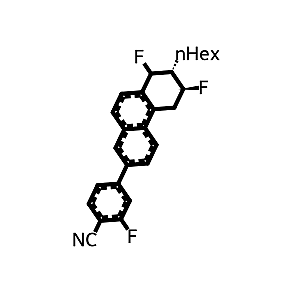 CCCCCC[C@H]1C(F)c2ccc3cc(-c4ccc(C#N)c(F)c4)ccc3c2C[C@@H]1F